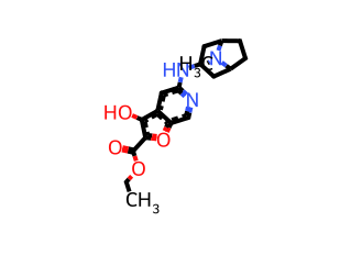 CCOC(=O)c1oc2cnc(NC3CC4CCC(C3)N4C)cc2c1O